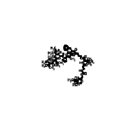 CC[C@@H](C)[C@H]([C@H](CC(=O)N1CCC[C@@H]1[C@@H](OC)[C@H](C)C(=O)N[C@H](Cc1ccccc1)C(=O)NCCCOC(=O)[C@H](NC(=O)CCNC(=O)OCC(OC)OC(CO)C(C)(C)C)C(C)(C)C)OC)N(C)C(=O)[C@H](NC(=O)[C@@H](C(C)C)N(C)C)C(C)C